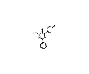 C=C/C=C\C(=C)C1=NC(c2ccccc2)=NC(CC)N1